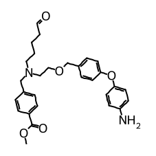 COC(=O)c1ccc(CN(CCCCC=O)CCOCc2ccc(Oc3ccc(N)cc3)cc2)cc1